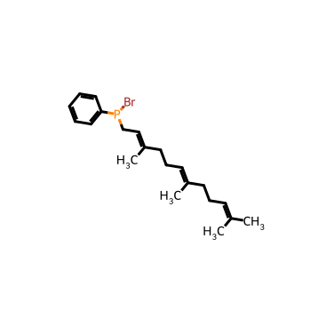 CC(C)=CCC/C(C)=C/CC/C(C)=C/CP(Br)c1ccccc1